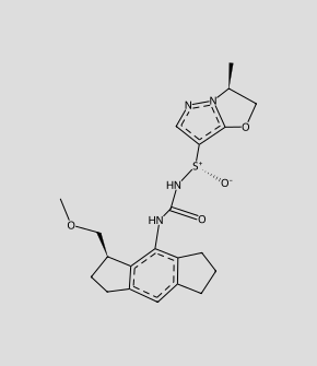 COC[C@@H]1CCc2cc3c(c(NC(=O)N[S@@+]([O-])c4cnn5c4OC[C@@H]5C)c21)CCC3